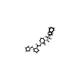 CN([C@H]1CCCN(CC(=O)N2CCC[C@H]2CN2CCCC2)C1=O)S(=O)(=O)c1cc2ccccc2s1